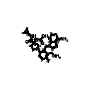 NCc1c(F)ccc(N2CC[C@](NC(=O)O)(C(=O)NC3CC3)C2)c1Cn1cnc2c(N)ncnc21